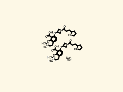 O=C(O)c1c(OC2CN(C(=O)CCC3CCCN3)C2)ccc2c1O[B-](O)(O)CC2.O=C(O)c1c(OC2CN(C(=O)CCC3CCCN3)C2)ccc2c1O[B-](O)(O)CC2.[Na+].[Na+]